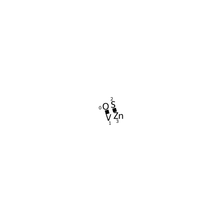 [O]=[V].[S]=[Zn]